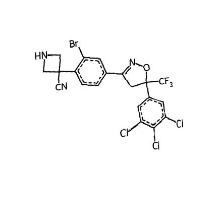 N#CC1(c2ccc(C3=NOC(c4cc(Cl)c(Cl)c(Cl)c4)(C(F)(F)F)C3)cc2Br)CNC1